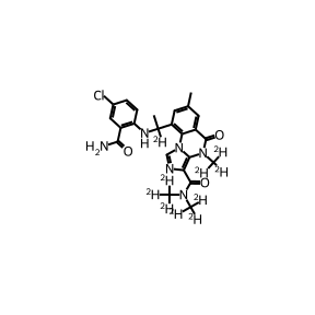 [2H]C(C)(Nc1ccc(Cl)cc1C(N)=O)c1cc(C)cc2c(=O)n(C([2H])([2H])[2H])c3c(C(=O)N(C([2H])([2H])[2H])C([2H])([2H])[2H])ncn3c12